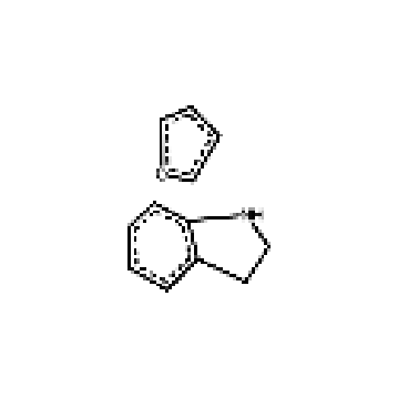 c1ccc2c(c1)CCN2.c1ccoc1